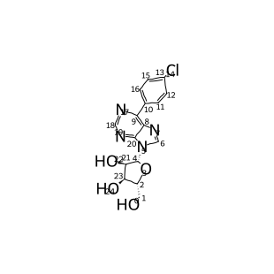 OC[C@H]1O[C@@H](n2cnc3c(-c4ccc(Cl)cc4)ncnc32)[C@H](O)[C@@H]1O